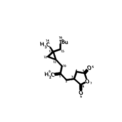 C=C(CC1CC(=O)OC1=O)CC1CC1(C)CC(C)(C)C